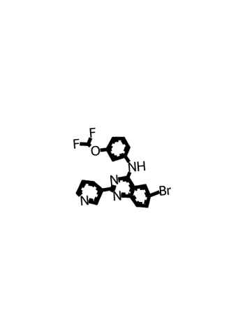 FC(F)Oc1cccc(Nc2nc(-c3cccnc3)nc3ccc(Br)cc23)c1